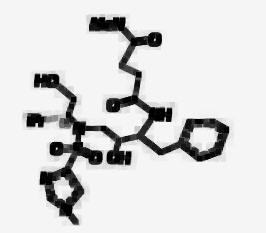 CNC(=O)CCC(=O)NC(Cc1ccccc1)C(O)CN([C@@H](CO)C(C)C)S(=O)(=O)c1cn(C)cn1